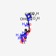 CCC(=O)NCCNC(=O)/N=C(/N)NCCC[C@@H](NC(=O)[C@@H](c1ccccc1)c1cccc(OCCCCNC(=O)[C@H](N)CCCCNC(C=O)N2CCN(CC(=O)O)CCN(CC(=O)O)CCN(CC(=O)O)CC2)c1)C(=O)NCc1ccc(O)cc1